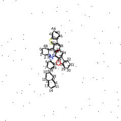 c1ccc(N(c2ccc(-c3ccc4ccccc4c3)cc2)c2cccc3c2oc2ccccc23)c(-c2cccc3c2sc2ccccc23)c1